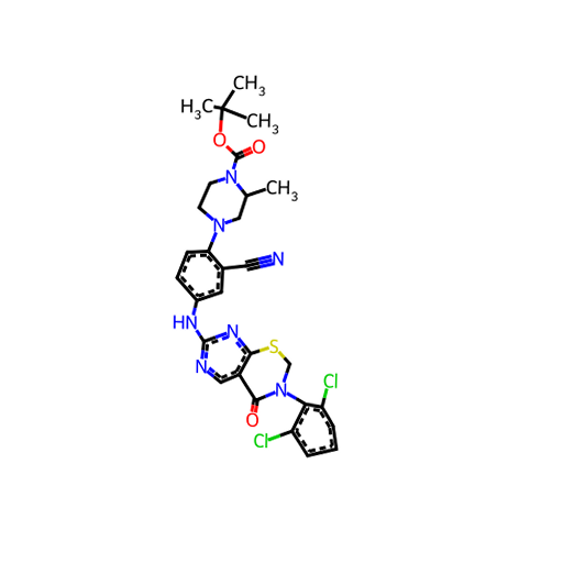 CC1CN(c2ccc(Nc3ncc4c(n3)SCN(c3c(Cl)cccc3Cl)C4=O)cc2C#N)CCN1C(=O)OC(C)(C)C